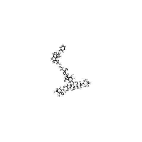 Cc1ccc(C2CCN(C(=O)NC(Cc3cc(C)c4c(cnn4COC(=O)CCCCCOC(=O)C(NC(=O)OCc4ccccc4)C(C)C)c3)C(=O)N3CCN(C4CCN(C)CC4)CC3)CC2)c(=O)[nH]1